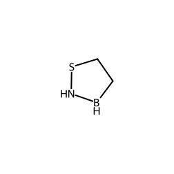 B1CCSN1